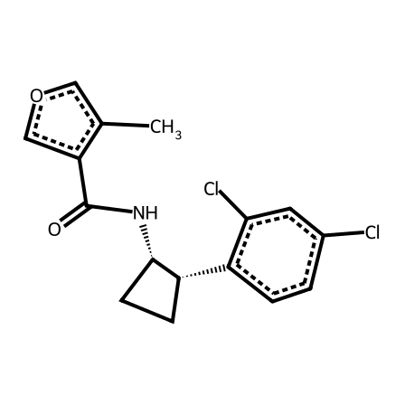 Cc1cocc1C(=O)N[C@H]1CC[C@H]1c1ccc(Cl)cc1Cl